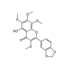 COc1c(OC)c(O)c2c(=O)c(OC)c(-c3ccc4c(c3)OCO4)oc2c1OC